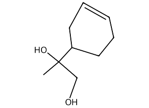 CC(O)(CO)C1CC=CCC1